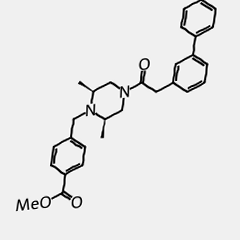 COC(=O)c1ccc(CN2[C@H](C)CN(C(=O)Cc3cccc(-c4ccccc4)c3)C[C@@H]2C)cc1